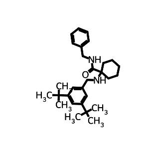 CC(C)(C)c1cc(CNC2(C(=O)NCc3ccccc3)CCCCC2)cc(C(C)(C)C)c1